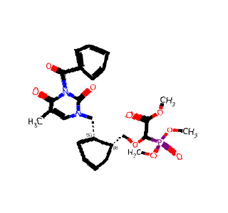 COC(=O)C(OC[C@@H]1CCCC[C@@H]1Cn1cc(C)c(=O)n(C(=O)c2ccccc2)c1=O)P(=O)(OC)OC